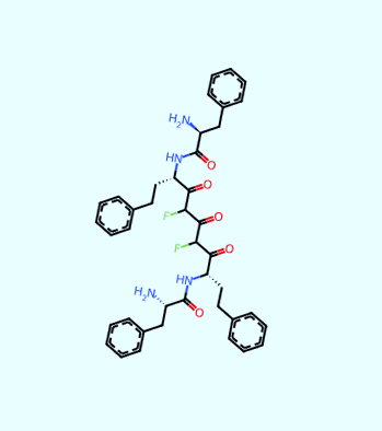 N[C@@H](Cc1ccccc1)C(=O)N[C@@H](CCc1ccccc1)C(=O)C(F)C(=O)C(F)C(=O)[C@H](CCc1ccccc1)NC(=O)[C@@H](N)Cc1ccccc1